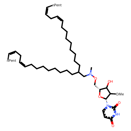 CCCCC/C=C\C/C=C\CCCCCCCCC(CCCCCCCC/C=C\C/C=C\CCCCC)CN(C)OC[C@H]1O[C@@H](n2ccc(=O)[nH]c2=O)C(OC)C1O